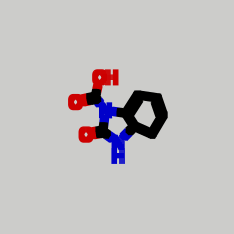 O=C(O)N1C(=O)NC2CC=CC=C21